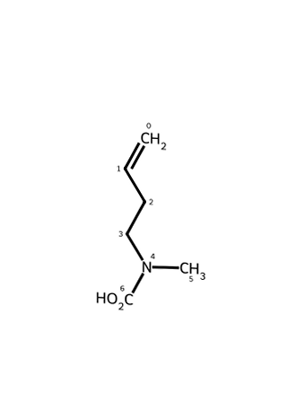 C=CCCN(C)C(=O)O